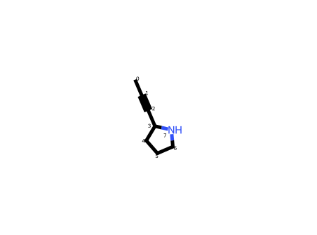 CC#CC1CCCN1